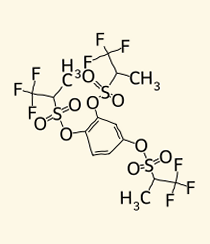 CC(C(F)(F)F)S(=O)(=O)Oc1ccc(OS(=O)(=O)C(C)C(F)(F)F)c(OS(=O)(=O)C(C)C(F)(F)F)c1